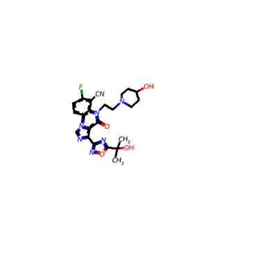 CC(C)(O)c1nc(-c2ncn3c2c(=O)n(CCN2CCC(O)CC2)c2c(C#N)c(F)ccc23)no1